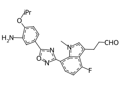 CC(C)Oc1ccc(-c2nc(-c3ccc(F)c4c(CCC=O)cn(C)c34)no2)cc1N